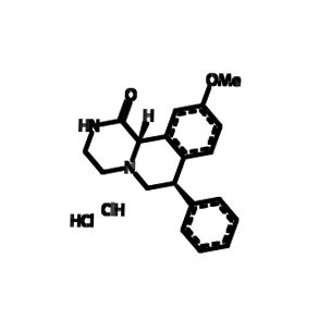 COc1ccc2c(c1)[C@H]1C(=O)NCCN1C[C@@H]2c1ccccc1.Cl.Cl